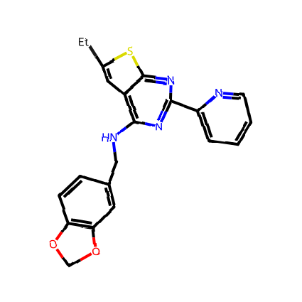 CCc1cc2c(NCc3ccc4c(c3)OCO4)nc(-c3ccccn3)nc2s1